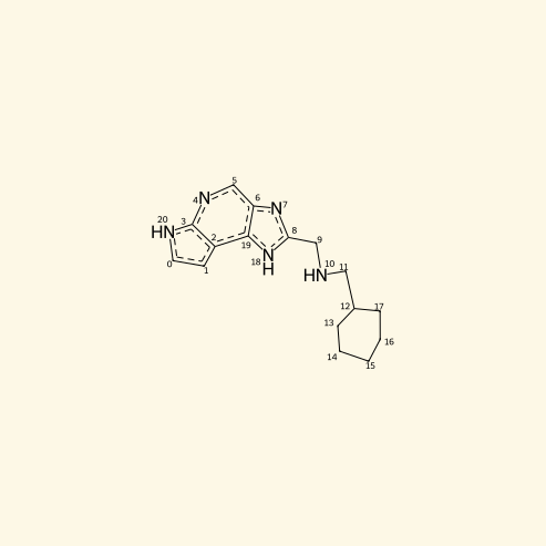 c1cc2c(ncc3nc(CNCC4CCCCC4)[nH]c32)[nH]1